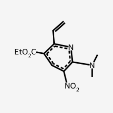 C=Cc1nc(N(C)C)c([N+](=O)[O-])cc1C(=O)OCC